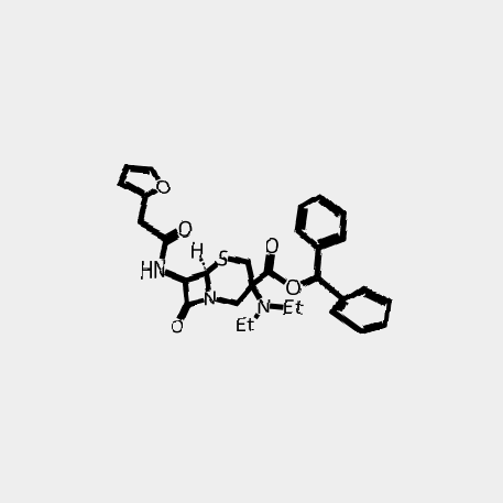 CCN(CC)C1(C(=O)OC(c2ccccc2)c2ccccc2)CS[C@@H]2C(NC(=O)Cc3ccco3)C(=O)N2C1